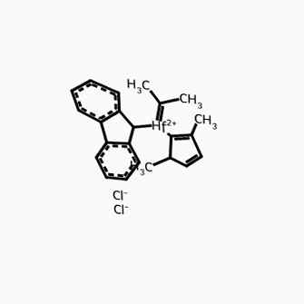 CC1=[C]([Hf+2](=[C](C)C)[CH]2c3ccccc3-c3ccccc32)C(C)C=C1.[Cl-].[Cl-]